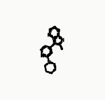 Cc1nc2cccnn2c1-c1ccnc(N2CCCCC2)c1